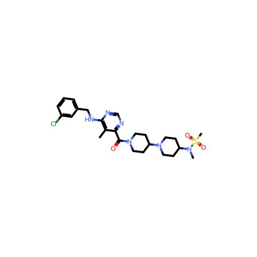 Cc1c(NCc2cccc(Cl)c2)ncnc1C(=O)N1CCC(N2CCC(N(C)S(C)(=O)=O)CC2)CC1